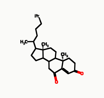 CC(C)CCCC(C)C1CCC2C3CC(=O)C4=CC(=O)CC[C@]4(C)C3CC[C@]12C